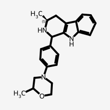 CC1CN(c2ccc(C3N[C@@H](C)Cc4c3[nH]c3ccccc43)cc2)CCO1